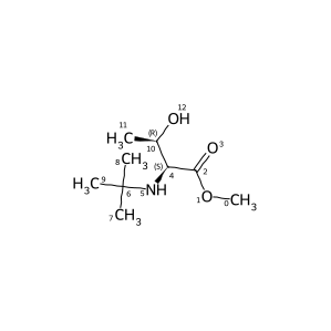 COC(=O)[C@@H](NC(C)(C)C)[C@@H](C)O